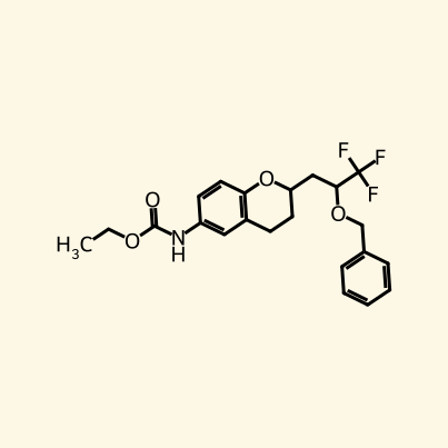 CCOC(=O)Nc1ccc2c(c1)CCC(CC(OCc1ccccc1)C(F)(F)F)O2